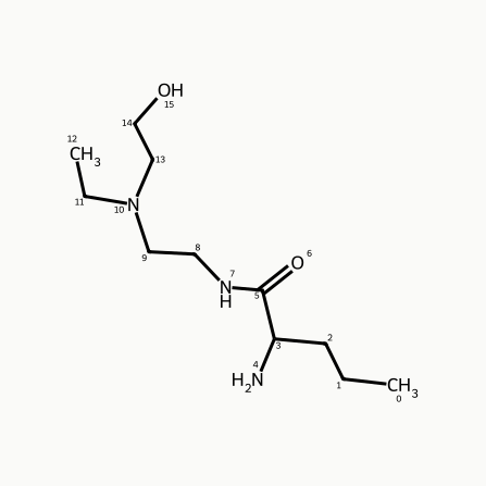 CCCC(N)C(=O)NCCN(CC)CCO